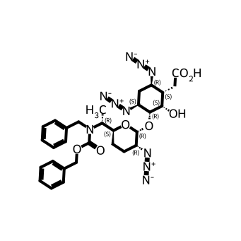 C[C@H]([C@@H]1CC[C@@H](N=[N+]=[N-])[C@@H](O[C@H]2[C@@H](O)[C@@H](CC(=O)O)[C@H](N=[N+]=[N-])C[C@@H]2N=[N+]=[N-])O1)N(Cc1ccccc1)C(=O)OCc1ccccc1